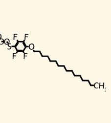 CCCCCCCCCCCCCCCCOc1c(F)c(F)c(SOOO)c(F)c1F